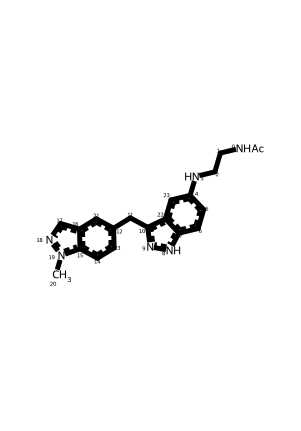 CC(=O)NCCNc1ccc2[nH]nc(Cc3ccc4c(cnn4C)c3)c2c1